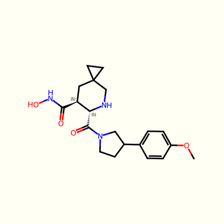 COc1ccc(C2CCN(C(=O)[C@H]3NCC4(CC4)C[C@@H]3C(=O)NO)C2)cc1